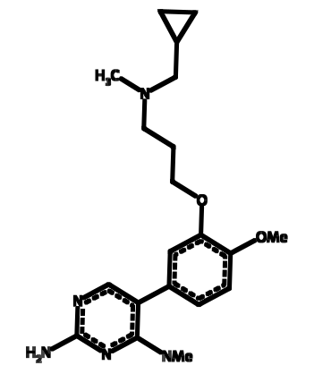 CNc1nc(N)ncc1-c1ccc(OC)c(OCCCN(C)CC2CC2)c1